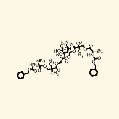 CC[C@H](C)[C@H](NC(=O)OCc1ccccc1)C(=O)OCC(C)(C)C(=O)OCOP(=O)(OCOC(=O)C(C)(C)COC(=O)[C@@H](NC(=O)OCc1ccccc1)[C@@H](C)CC)C(O)(CCCN)P(=O)(O)O